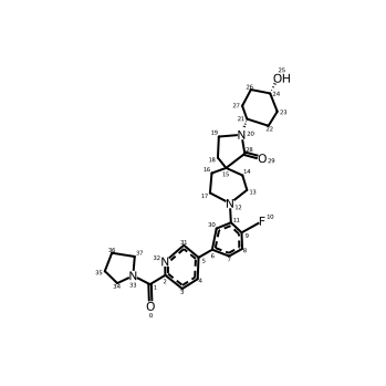 O=C(c1ccc(-c2ccc(F)c(N3CCC4(CC3)CCN([C@H]3CC[C@@H](O)CC3)C4=O)c2)cn1)N1CCCC1